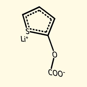 O=C([O-])Oc1cccs1.[Li+]